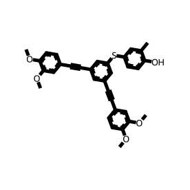 COc1ccc(C#Cc2cc(C#Cc3ccc(OC)c(OC)c3)cc(Sc3ccc(O)c(C)c3)c2)cc1OC